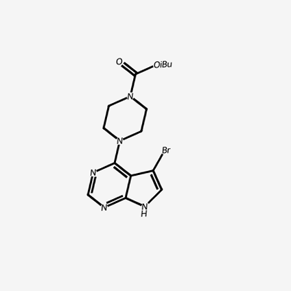 CC(C)COC(=O)N1CCN(c2ncnc3[nH]cc(Br)c23)CC1